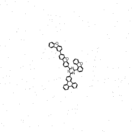 c1ccc2c(c1)oc1ccc(-c3ccc4c(c3)oc3cc(-c5nc(-c6ccc7c8ccccc8c8ccccc8c7c6)nc(-c6cccc7oc8ccccc8c67)n5)ccc34)cc12